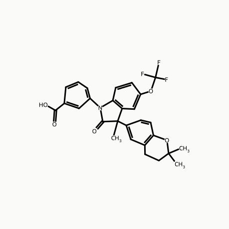 CC1(C)CCc2cc(C3(C)C(=O)N(c4cccc(C(=O)O)c4)c4ccc(OC(F)(F)F)cc43)ccc2O1